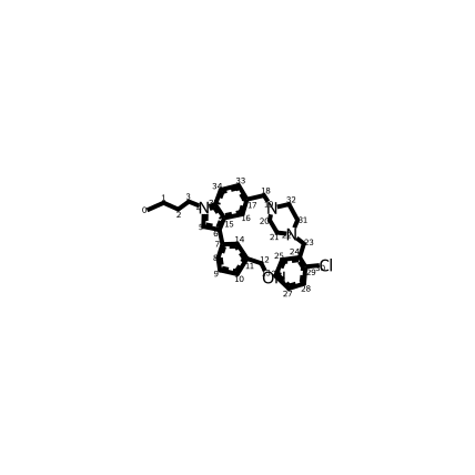 CCCCn1cc(-c2cccc(CO)c2)c2cc(CN3CCN(Cc4ccccc4Cl)CC3)ccc21